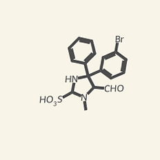 CN1C(C=O)C(c2ccccc2)(c2cccc(Br)c2)NC1S(=O)(=O)O